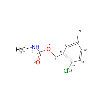 CNC(=O)OCc1cc(I)ccc1Cl